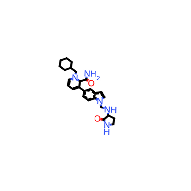 NC(=O)C1C(c2ccc3c(ccn3CNC3CCNC3=O)c2)=CC=CN1CC1CCCCC1